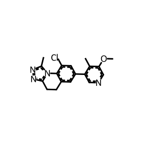 COc1cncc(-c2cc(Cl)c3c(c2)CCc2nnc(C)n2-3)c1C